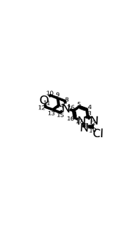 Clc1nc2ccc(N3CC4COCC(C4)C3)cn2n1